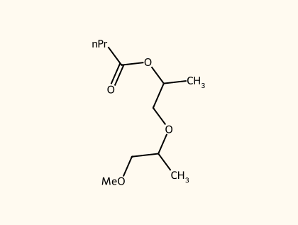 CCCC(=O)OC(C)COC(C)COC